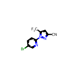 N#Cc1cc(C(F)(F)F)n(-c2ccc(Br)cn2)n1